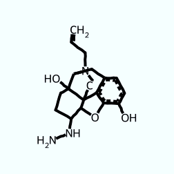 C=CCN1CCC23c4c5ccc(O)c4OC2C(NN)CCC3(O)C1C5